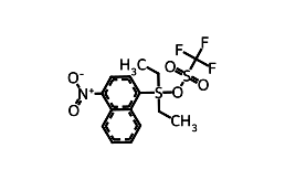 CCS(CC)(OS(=O)(=O)C(F)(F)F)c1ccc([N+](=O)[O-])c2ccccc12